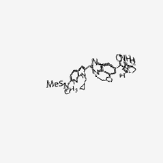 CSN(C)c1ccc2cc(-c3nc4cc(C(=O)N5[C@H]6CC[C@@H]5[C@H](N)C6)cc5c4n3CCO5)n(CC3CC3)c2n1